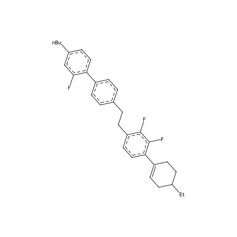 CCCCc1ccc(-c2ccc(CCc3ccc(C4=CCC(CC)CC4)c(F)c3F)cc2)c(F)c1